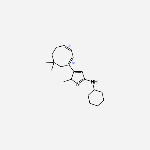 CC1N=C(NC2CCCCC2)C=C1/C1=C/C=C\CCC(C)(C)C1